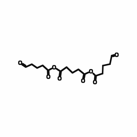 O=CCCCC(=O)OC(=O)CCCC(=O)OC(=O)CCCC=O